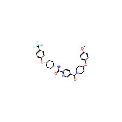 COc1ccc(OC2CCN(C(=O)c3ccc(C(=O)N[C@H]4CC[C@@H](Oc5ccc(C(F)(F)F)cc5)CC4)nc3)CC2)cc1